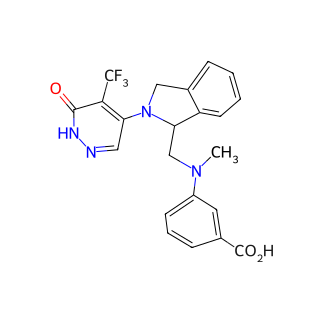 CN(CC1c2ccccc2CN1c1cn[nH]c(=O)c1C(F)(F)F)c1cccc(C(=O)O)c1